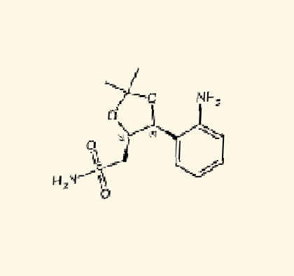 CC1(C)O[C@H](CS(N)(=O)=O)[C@H](c2ccccc2N)O1